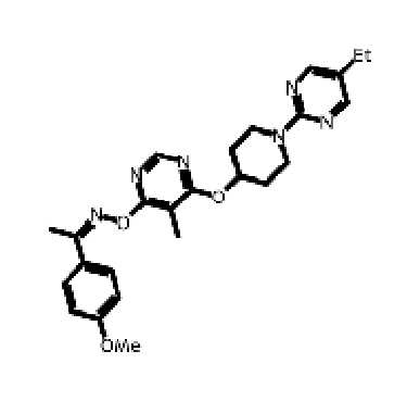 CCc1cnc(N2CCC(Oc3ncnc(ON=C(C)c4ccc(OC)cc4)c3C)CC2)nc1